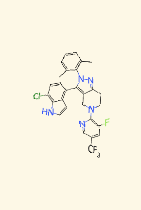 Cc1cccc(C)c1-n1nc2c(c1-c1ccc(Cl)c3[nH]ccc13)CN(c1ncc(C(F)(F)F)cc1F)CC2